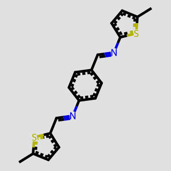 Cc1ccc(C=Nc2ccc(C=Nc3ccc(C)s3)cc2)s1